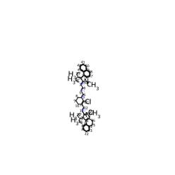 CN1\C(=C/C=C/C=C2\CCCC(/C=C/C3=[N+](C)C4=C(c5ccccc5CC4)C3(C)C)=C2Cl)C(C)(C)c2c1ccc1ccccc21